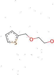 OCCOCc1cccs1